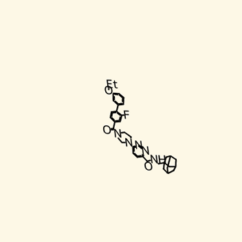 CCOc1cccc(-c2ccc(C(=O)N3CCN(c4ccc(C(=O)NCC56CC7CC(CC(C7)C5)C6)nn4)CC3)cc2F)c1